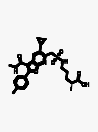 CNC(=O)c1c(-c2ccc(C)cc2)oc2nc(CS(=O)(=O)NCCC[C@@H](C)C(=O)O)c(C3CC3)cc12